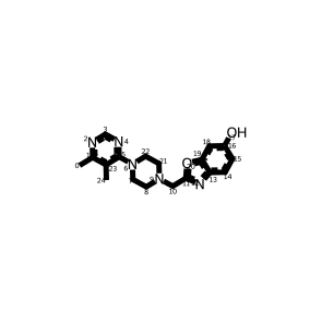 Cc1ncnc(N2CCN(Cc3nc4ccc(O)cc4o3)CC2)c1C